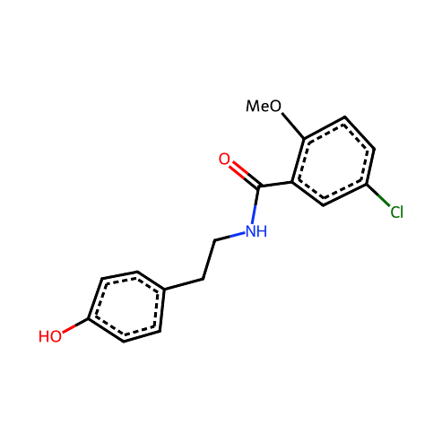 COc1ccc(Cl)cc1C(=O)NCCc1ccc(O)cc1